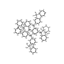 CC1(C)c2ccccc2-c2ccc(N3c4cc(N5c6ccccc6C6(C)CCCCC56C)cc5c4B4c6c3cccc6[Si](c3ccccc3)(c3ccccc3)c3cccc(c34)N5c3ccc4c(c3)C(C)(C)c3ccccc3-4)cc21